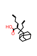 C=CCC=C(C(=O)O)C(C)(CC=C)C12CC3CC(CC(C3)C1)C2